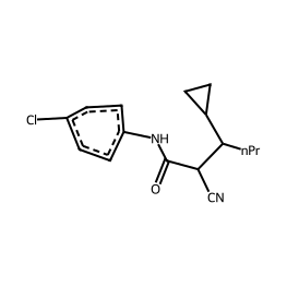 CCCC(C1CC1)C(C#N)C(=O)Nc1ccc(Cl)cc1